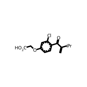 C=C(C(=O)c1ccc(OCC(=O)O)cc1Cl)C(C)C